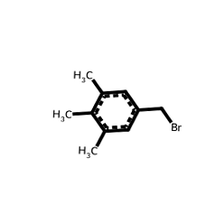 Cc1cc(CBr)cc(C)c1C